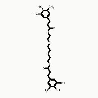 Cc1cc(CCC(=O)OCCOCCOCCOC(=O)CCC2=CC(C)[C@H](O)C(C(C)(C)C)=C2)cc(C(C)(C)C)c1O